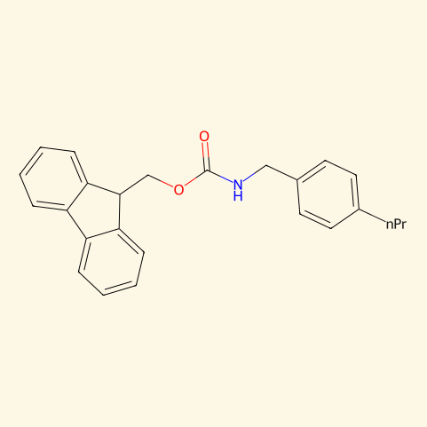 CCCc1ccc(CNC(=O)OCC2c3ccccc3-c3ccccc32)cc1